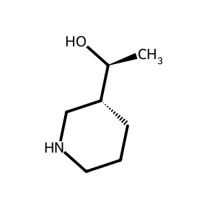 C[C@H](O)[C@@H]1CCCNC1